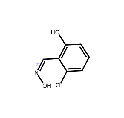 O/N=C\c1c(O)cccc1Cl